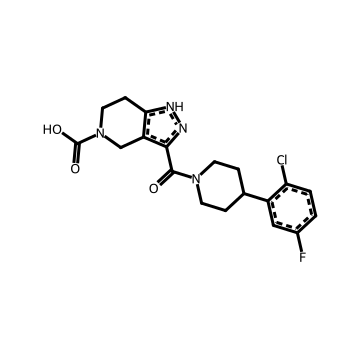 O=C(O)N1CCc2[nH]nc(C(=O)N3CCC(c4cc(F)ccc4Cl)CC3)c2C1